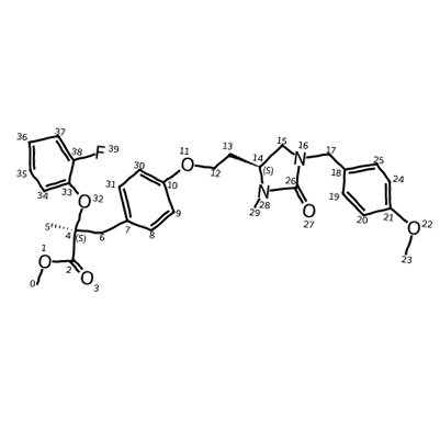 COC(=O)[C@](C)(Cc1ccc(OCC[C@H]2CN(Cc3ccc(OC)cc3)C(=O)N2C)cc1)Oc1ccccc1F